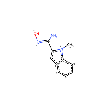 Cn1c(C(N)=NO)cc2ccccc21